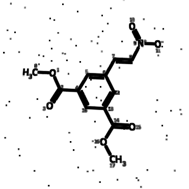 COC(=O)c1cc(/C=C/[N+](=O)[O-])cc(C(=O)OC)c1